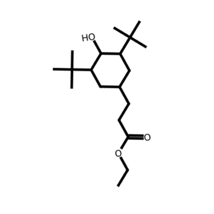 CCOC(=O)CCC1CC(C(C)(C)C)C(O)C(C(C)(C)C)C1